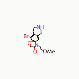 COCCN1C(=O)COc2c1cc1c(c2Br)CCNCC1